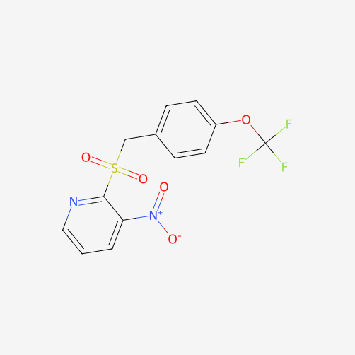 O=[N+]([O-])c1cccnc1S(=O)(=O)Cc1ccc(OC(F)(F)F)cc1